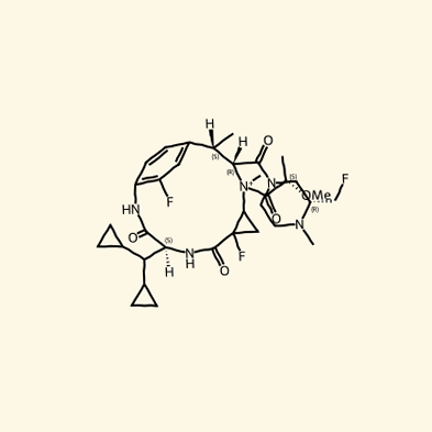 CO[C@@H](C)C(=O)[N+]1(C)C2CC2(F)C(=O)N[C@@H](C(C2CC2)C2CC2)C(=O)Nc2ccc(cc2F)[C@H](C)[C@@H]1C(=O)N1CCN(C)[C@@H](CF)C1